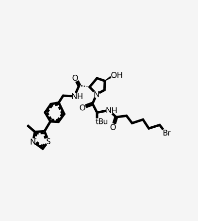 Cc1ncsc1-c1ccc(CNC(=O)[C@@H]2C[C@@H](O)CN2C(=O)C(NC(=O)CCCCCBr)C(C)(C)C)cc1